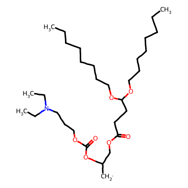 [CH2]C(COC(=O)CCC(OCCCCCCCC)OCCCCCCCC)OC(=O)OCCCN(CC)CC